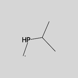 [CH2]PC(C)C